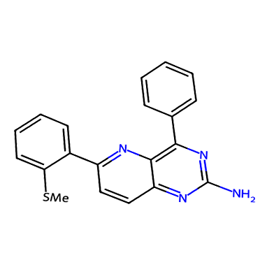 CSc1ccccc1-c1ccc2nc(N)nc(-c3ccccc3)c2n1